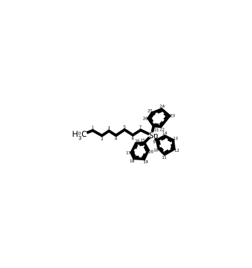 CCCCCCC[CH2][Sn]([c]1ccccc1)([c]1ccccc1)[c]1ccccc1